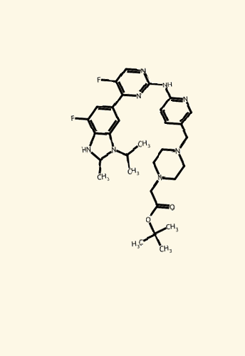 CC(C)N1c2cc(-c3nc(Nc4ccc(CN5CCN(CC(=O)OC(C)(C)C)CC5)cn4)ncc3F)cc(F)c2NC1C